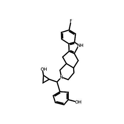 Oc1cccc(C(C2CC2O)N2CCC3Cc4[nH]c5cc(F)ccc5c4CC3C2)c1